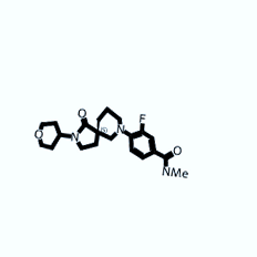 CNC(=O)c1ccc(N2CCC[C@]3(CCN(C4CCOCC4)C3=O)C2)c(F)c1